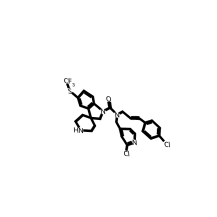 O=C(N(CC=Cc1ccc(Cl)cc1)Cc1ccnc(Cl)c1)N1CC2(CCNCC2)c2cc(SC(F)(F)F)ccc21